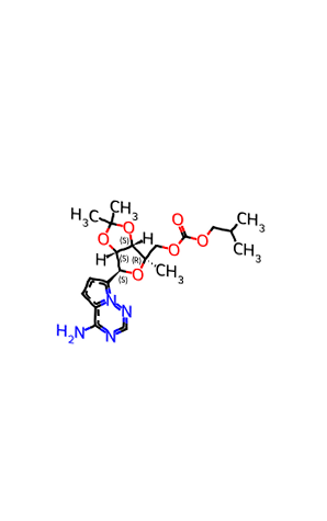 CC(C)COC(=O)OC[C@@]1(C)O[C@@H](c2ccc3c(N)ncnn23)[C@@H]2OC(C)(C)O[C@@H]21